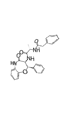 C[C@H](NC(=O)Cc1ccccc1)C(=O)N[C@@H]1C(=O)Nc2ccccc2O[C@@H]1c1ccccc1